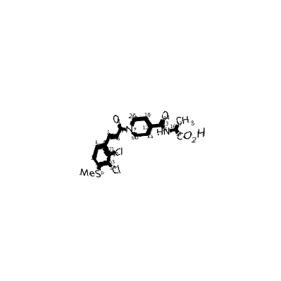 CSc1ccc(C=CC(=O)N2CCC(C(=O)NC(C)C(=O)O)CC2)c(Cl)c1Cl